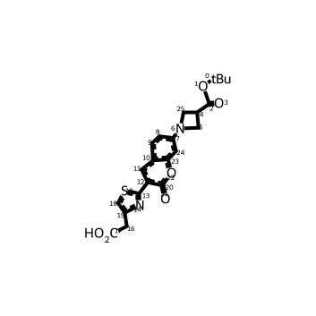 CC(C)(C)OC(=O)C1CN(c2ccc3cc(-c4nc(CC(=O)O)cs4)c(=O)oc3c2)C1